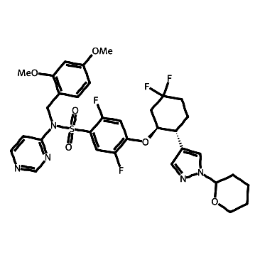 COc1ccc(CN(c2ccncn2)S(=O)(=O)c2cc(F)c(O[C@H]3CC(F)(F)CC[C@@H]3c3cnn(C4CCCCO4)c3)cc2F)c(OC)c1